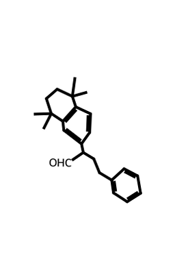 CC1(C)CCC(C)(C)c2cc(C(C=O)CCc3ccccc3)ccc21